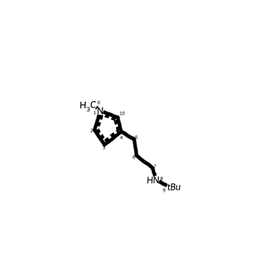 Cn1ccc(CCCNC(C)(C)C)c1